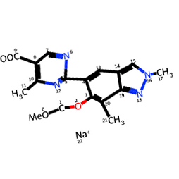 COCOc1c(-c2ncc(C(=O)[O-])c(C)n2)cc2cn(C)nc2c1C.[Na+]